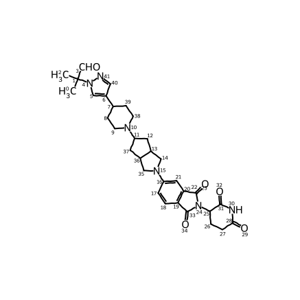 CC(C)(C=O)n1cc(C2CCN(C3CC4CN(c5ccc6c(c5)C(=O)N(C5CCC(=O)NC5=O)C6=O)CC4C3)CC2)cn1